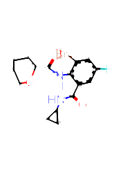 O=C(NC1CC1)c1cc(F)cc(Br)c1NC(=O)[C@H]1CCCCO1